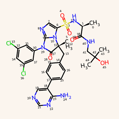 C[C@H](NS(=O)(=O)c1cnc2n1[C@](C)(Cc1ccc(-c3cncnc3N)cc1)C(=O)N2c1cc(Cl)cc(Cl)c1)C(=O)NCC(C)(C)O